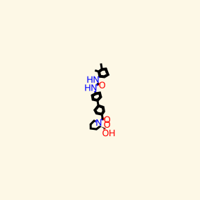 Cc1cccc(NC(=O)Nc2ccc(-c3ccc(C(=O)N4CCCC[C@H]4C(=O)O)cc3)cc2)c1C